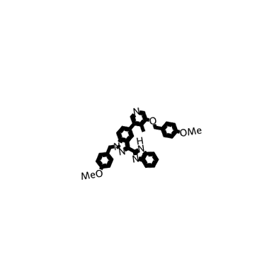 COc1ccc(COc2cncc(-c3ccc4c(c3)c(-c3nc5ccccc5[nH]3)nn4Cc3ccc(OC)cc3)c2C)cc1